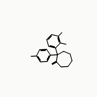 Cc1ccc(C2(c3cccc(F)c3F)CCCCCC2=O)cc1